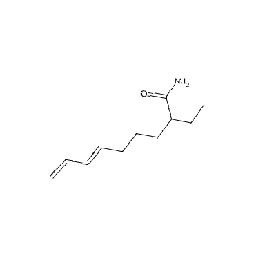 C=CC=CCCCC(CC)C(N)=O